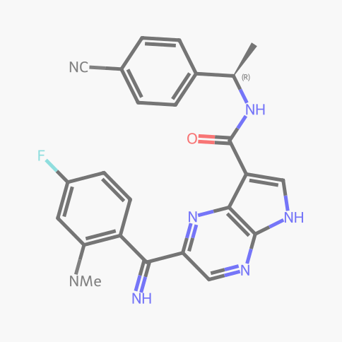 CNc1cc(F)ccc1C(=N)c1cnc2[nH]cc(C(=O)N[C@H](C)c3ccc(C#N)cc3)c2n1